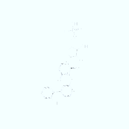 O=c1ccn([C@@H]2O[C@H](COP(=O)(O)O)C(O)C2O)c(=O)n1Cc1cc(-c2ccccc2C(F)(F)F)ccn1